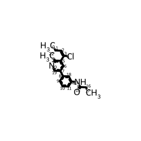 CC/C=C(/Cl)c1cc(-c2cccc(NC(=O)CC)c2)cnc1C